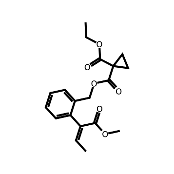 CC=C(C(=O)OC)c1ccccc1COC(=O)C1(C(=O)OCC)CC1